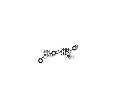 C[C@H](NC(=O)C1C[C@@H](c2ccncc2)CN1C(=O)O)C(=O)NCc1ccc(C(=N)NC(=O)OCc2ccccc2)cc1